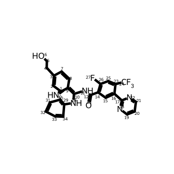 N=C1C=C(CCO)C=C/C1=C(\NC(=O)c1cc(-c2ncccn2)c(C(F)(F)F)cc1F)Nc1ccccc1